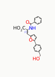 O=C(O)/C(=C/c1ccc(-c2ccc(CO)cc2)o1)NC(=O)c1ccccc1